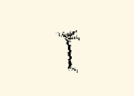 CCCCCCCCCCCC[N+](CC)(CC)CCO